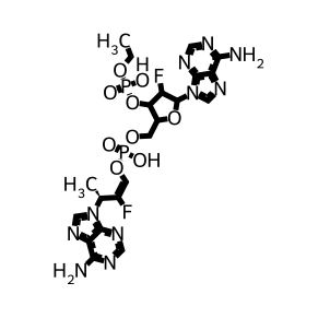 CCOP(=O)(O)OC1C(COP(=O)(O)O/C=C(/F)[C@@H](C)n2cnc3c(N)ncnc32)OC(n2cnc3c(N)ncnc32)C1F